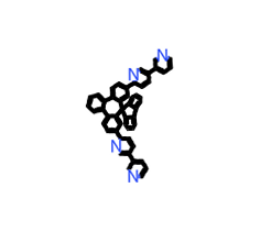 c1cncc(-c2ccc(-c3ccc4c(c3)C3(c5cc(-c6ccc(-c7cccnc7)cn6)ccc5-c5ccccc5-4)c4ccccc4-c4ccccc43)nc2)c1